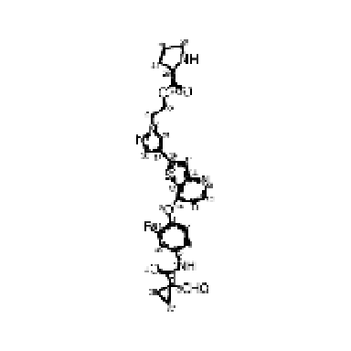 O=CC1(C(=O)Nc2ccc(Oc3ccnc4cc(-c5cnn(CCOC(=O)C6CCCN6)c5)sc34)c(F)c2)CC1